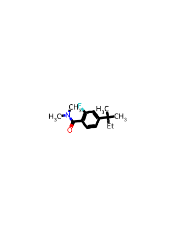 CCC(C)(C)c1ccc(C(=O)N(C)C)c(F)c1